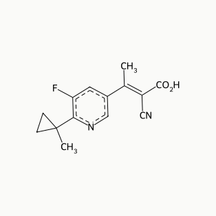 C/C(=C(/C#N)C(=O)O)c1cnc(C2(C)CC2)c(F)c1